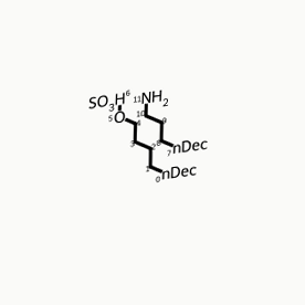 CCCCCCCCCCCCCCOS(=O)(=O)O.CCCCCCCCCCCCCN